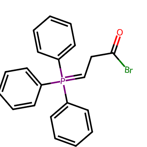 O=C(Br)CC=P(c1ccccc1)(c1ccccc1)c1ccccc1